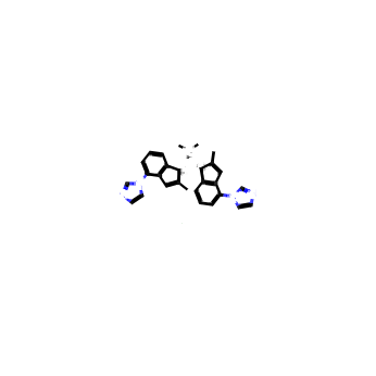 CC1=Cc2c(cccc2-n2ccnc2)[C@@H]1[Zr+2]([C@H]1C(C)=Cc2c1cccc2-n1ccnc1)=[Si](C)C.[Cl-].[Cl-]